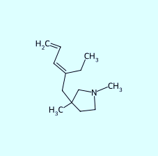 C=C/C=C(\CC)CC1(C)CCN(C)C1